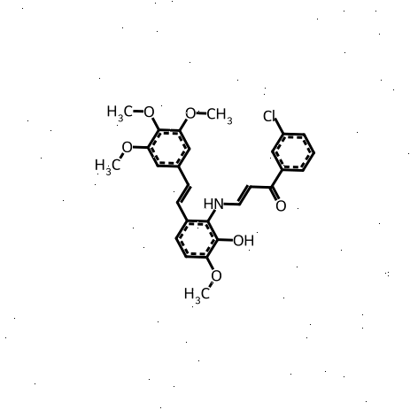 COc1ccc(C=Cc2cc(OC)c(OC)c(OC)c2)c(NC=CC(=O)c2cccc(Cl)c2)c1O